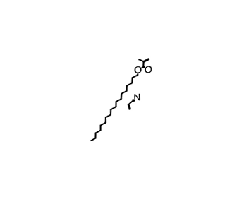 C=C(C)C(=O)OCCCCCCCCCCCCCCCCCC.C=CC#N